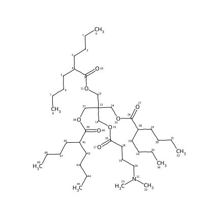 CCCCC(CCCC)C(=O)OCC(COC(=O)CCCN(C)C)(COC(=O)C(CCCC)CCCC)COC(=O)C(CCCC)CCCC